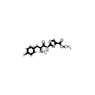 COC(=O)c1csc(NC(=O)C(N)Cc2ccc(F)cc2)n1